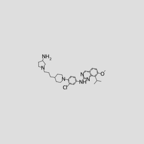 COc1ccc2cnc(Nc3ccc(N4CCC(CCCN5CCC(N)C5)CC4)c(Cl)c3)nc2c1C(C)C